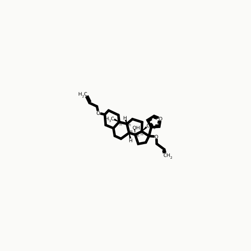 C=CCOC1CC[C@@]2(C)C(CC[C@@H]3[C@H]2CC[C@]2(C)C(OCC=C)(c4ccoc4)CC[C@@]32O)C1